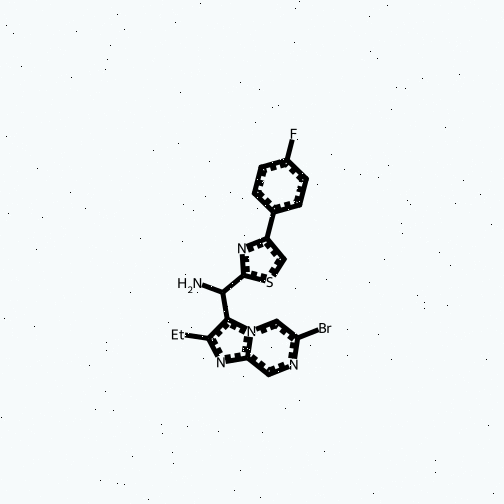 CCc1nc2cnc(Br)cn2c1C(N)c1nc(-c2ccc(F)cc2)cs1